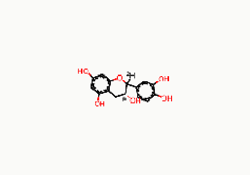 [2H]C1(c2ccc(O)c(O)c2)Oc2cc(O)cc(O)c2C[C@H]1O